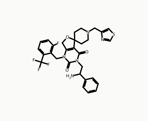 NC(Cn1c(=O)c2c(n(Cc3c(F)cccc3C(F)(F)F)c1=O)COC21CCN(Cc2cscn2)CC1)c1ccccc1